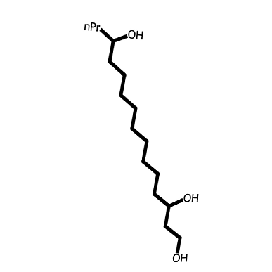 CCCC(O)CCCCCCCCCC(O)CCO